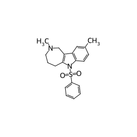 Cc1ccc2c(c1)c1c(n2S(=O)(=O)c2ccccc2)CCCN(C)C1